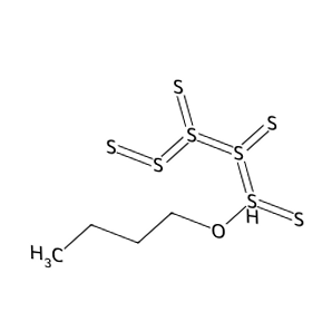 CCCCO[SH](=S)=S(=S)=S(=S)=S=S